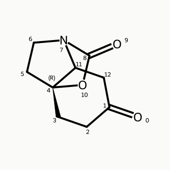 O=C1CC[C@]23CCN(C(=O)O2)C3C1